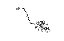 CCC/C=C\CCCCCCCC/C=C\CCCCCC(O)(C[N+](C)(C)C)P(=O)(O)O